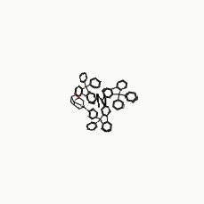 c1ccc(C2(c3ccccc3)c3ccccc3-c3ccc(N(c4ccc5c(c4)C(c4ccccc4)(c4ccccc4)c4ccccc4-5)c4ccc5c(c4)C(c4ccccc4)(c4ccc(C67CC8CC(CC(C8)C6)C7)cc4)c4ccccc4-5)cc32)cc1